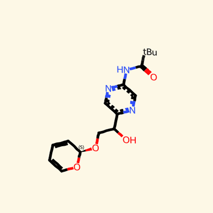 CC(C)(C)C(=O)Nc1cnc(C(O)CO[C@@H]2C=CC=CO2)cn1